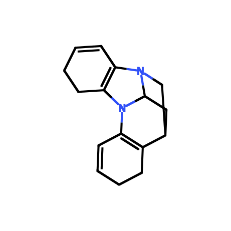 C1=CC2=C(CC1)C1CC3N(C1)C1=C(CCC=C1)N23